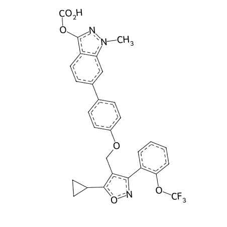 Cn1nc(OC(=O)O)c2ccc(-c3ccc(OCc4c(-c5ccccc5OC(F)(F)F)noc4C4CC4)cc3)cc21